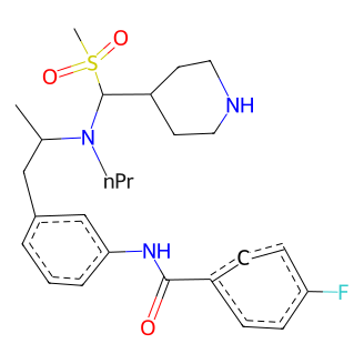 CCCN(C(C)Cc1cccc(NC(=O)c2ccc(F)cc2)c1)C(C1CCNCC1)S(C)(=O)=O